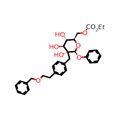 CCOC(=O)OC[C@H]1O[C@@H](Oc2ccccc2)[C@@](O)(Cc2ccc(CCOCc3ccccc3)cc2)[C@@H](O)[C@@H]1O